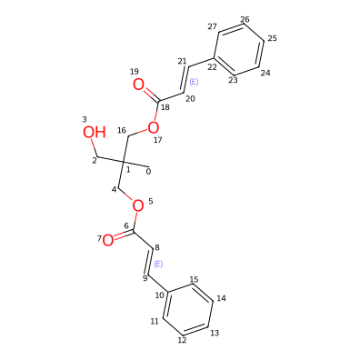 CC(CO)(COC(=O)/C=C/c1ccccc1)COC(=O)/C=C/c1ccccc1